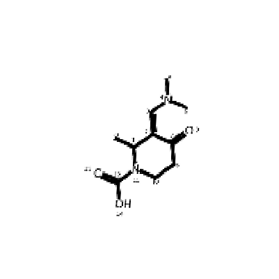 CC1C(=CN(C)C)C(=O)CCN1C(=O)O